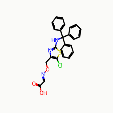 O=C(O)C=NOCc1nc(NC(c2ccccc2)(c2ccccc2)c2ccccc2)sc1Cl